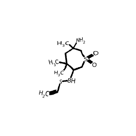 C=CSBC1CS(=O)(=O)CC(C)(N)CC1(C)C